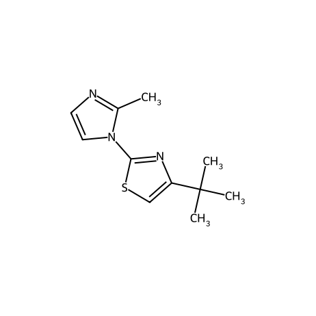 Cc1nccn1-c1nc(C(C)(C)C)cs1